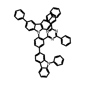 c1ccc(-c2ccc3c(c2)c2cc(-c4ccccc4)ccc2n3-c2ccc(-c3ccc4c5ccccc5n(-c5ccccc5)c4c3)cc2-c2nc(-c3ccccc3)nc(-c3ccccc3)n2)cc1